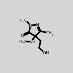 CC1=NN(C)C(=O)C1(CCO)NO